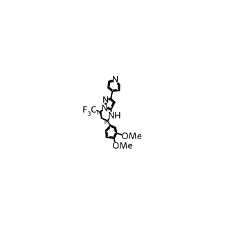 COc1ccc([C@H]2C[C@@H](C(F)(F)F)n3nc(-c4ccncc4)cc3N2)cc1OC